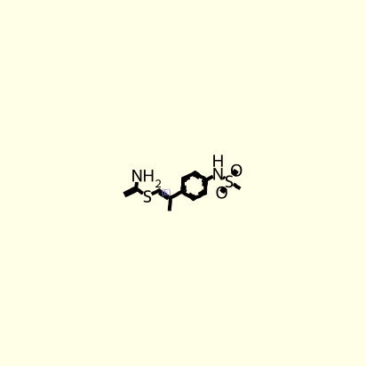 C=C(N)S/C=C(\C)c1ccc(NS(C)(=O)=O)cc1